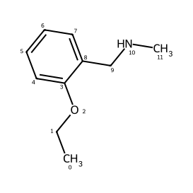 CCOc1ccccc1CNC